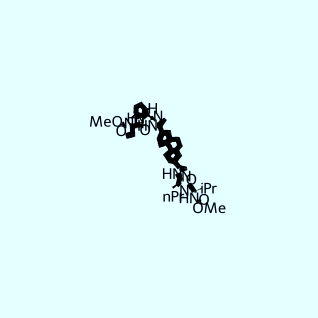 C=C[C@H](NC(=O)OC)C(=O)N1[C@@H]2CC[C@@H](C2)[C@H]1c1ncc(-c2ccc3c(c2)CCc2cc(-c4cnc([C@H](C)N(CCC)C(=O)[C@@H](NC(=O)OC)C(C)C)[nH]4)ccc2-3)[nH]1